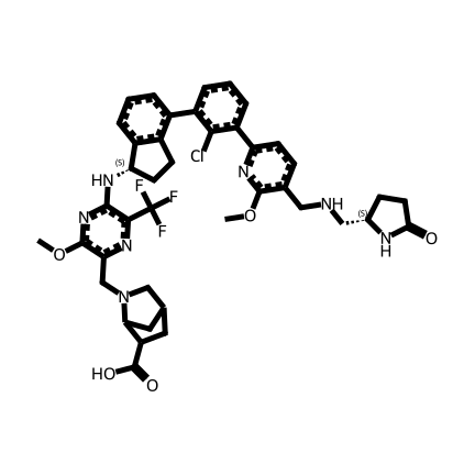 COc1nc(-c2cccc(-c3cccc4c3CC[C@@H]4Nc3nc(OC)c(CN4CC5CC(C(=O)O)C4C5)nc3C(F)(F)F)c2Cl)ccc1CNC[C@@H]1CCC(=O)N1